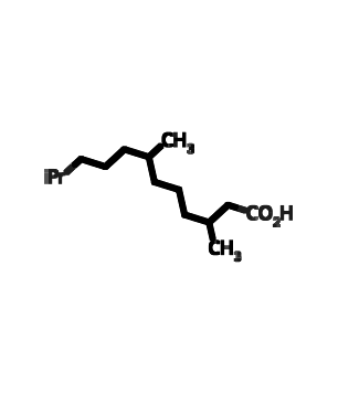 CC(C)CCCC(C)CCCC(C)CC(=O)O